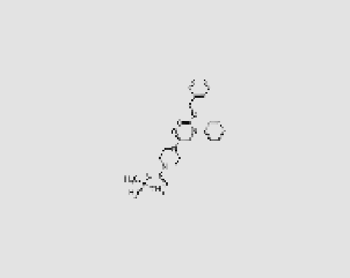 CC(C)(C)OC(=O)N1CCN(C(=O)CN(C(=O)OCc2ccccc2)c2ccccc2)CC1